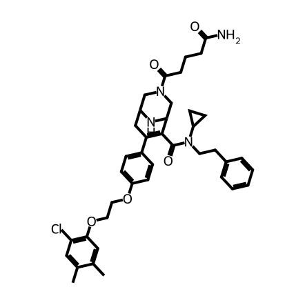 Cc1cc(Cl)c(OCCOc2ccc(C3=C(C(=O)N(CCc4ccccc4)C4CC4)C4CN(C(=O)CCCC(N)=O)CC(C3)N4)cc2)cc1C